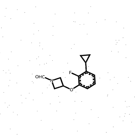 O=CN1CC(Oc2cccc(C3CC3)c2F)C1